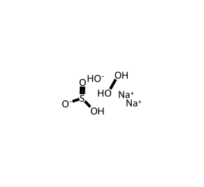 O=S([O-])O.OO.[Na+].[Na+].[OH-]